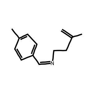 C=C(C)CC/N=C\c1ccc(C)cc1